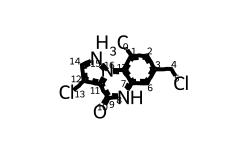 Cc1cc(CCl)cc2[nH]c(=O)c3c(Cl)cnn3c12